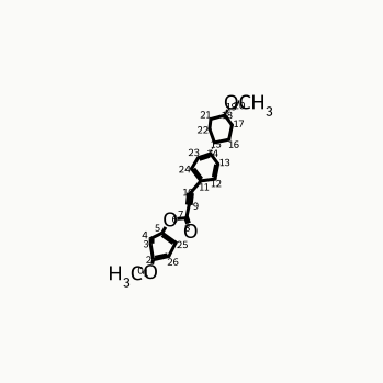 COc1ccc(OC(=O)C#Cc2ccc([C@H]3CC[C@H](OC)CC3)cc2)cc1